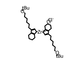 CC(C)(C)OCCCCCCC1=C[CH]([Zr+2][CH]2C=C(CCCCCCOC(C)(C)C)C3=C2CCCC3)C2=C1CCCC2.[Cl-].[Cl-]